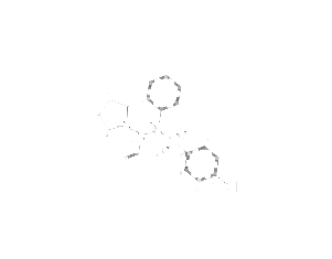 O=CN(N1CCCC1)N(c1ccccc1)S(=O)(=O)c1ccc(Cl)cc1